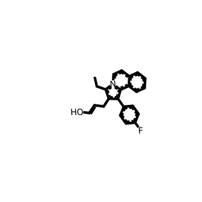 CCc1c(CC=CO)c(-c2ccc(F)cc2)c2c3ccccc3ccn12